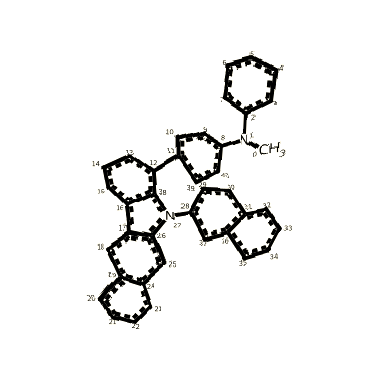 CN(c1ccccc1)c1ccc(-c2cccc3c4cc5ccccc5cc4n(-c4ccc5ccccc5c4)c23)cc1